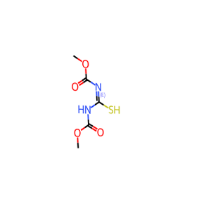 COC(=O)/N=C(/S)NC(=O)OC